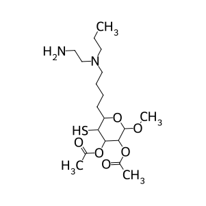 CCCN(CCN)CCCCC1OC(OC)C(OC(C)=O)C(OC(C)=O)C1S